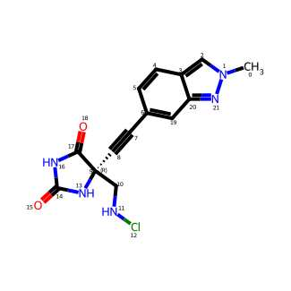 Cn1cc2ccc(C#C[C@]3(CNCl)NC(=O)NC3=O)cc2n1